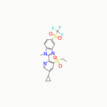 CCS(=O)(=O)c1cc(C2CC2)cnc1-c1nc2cc(S(=O)(=O)C(F)(F)F)ccc2n1C